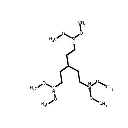 CO[SiH](CCC(CC[SiH](OC)OC)CC[SiH](OC)OC)OC